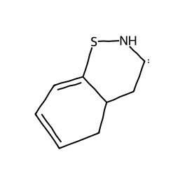 [C]1CC2CC=CC=C2SN1